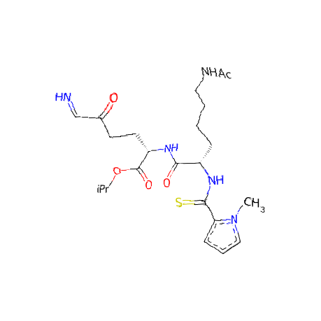 CC(=O)NCCCC[C@H](NC(=S)c1cccn1C)C(=O)N[C@@H](CCC(=O)C=N)C(=O)OC(C)C